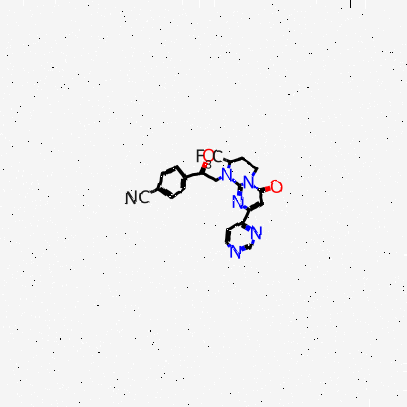 N#Cc1ccc(C(=O)CN2c3nc(-c4ccncn4)cc(=O)n3CCC2C(F)(F)F)cc1